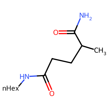 CCCCCCNC(=O)CCC(C)C(N)=O